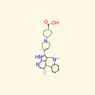 CN1Cc2c(C3=CCN([C@H]4CC[C@H](C(=O)O)CC4)CC3)[nH]c3ncc(F)c(c23)-c2ccccc21